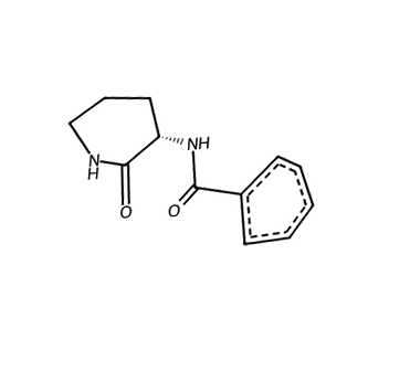 O=C(N[C@H]1CCCNC1=O)c1ccccc1